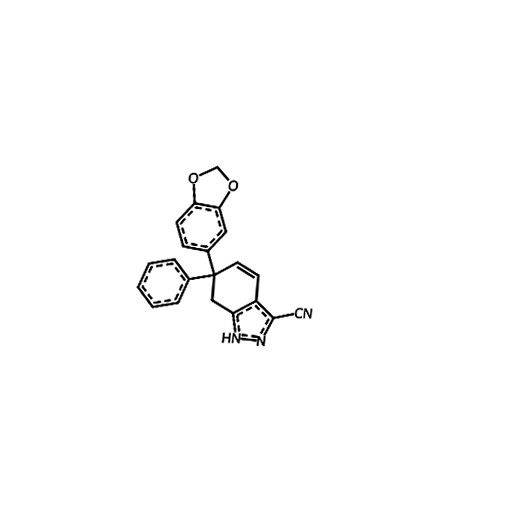 N#Cc1n[nH]c2c1C=CC(c1ccccc1)(c1ccc3c(c1)OCO3)C2